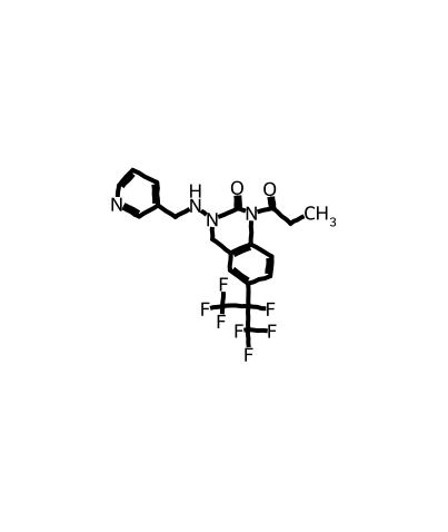 CCC(=O)N1C(=O)N(NCc2cccnc2)Cc2cc(C(F)(C(F)(F)F)C(F)(F)F)ccc21